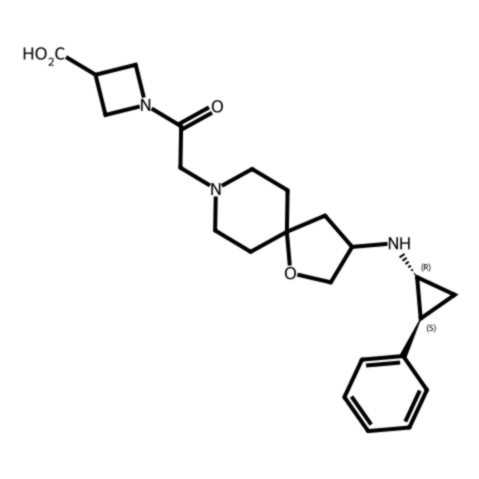 O=C(O)C1CN(C(=O)CN2CCC3(CC2)CC(N[C@@H]2C[C@H]2c2ccccc2)CO3)C1